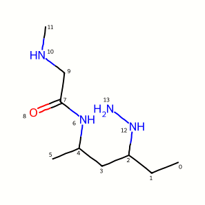 CCC(CC(C)NC(=O)CNC)NN